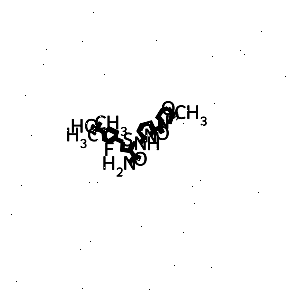 C[C@H]1CN(C(=O)c2cccc(NC3=C(C(N)=O)CC(c4ccc(C(C)(C)O)cc4F)S3)n2)CCO1